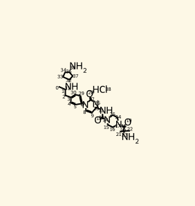 CC(Cc1ccc(-n2ccc(NC(=O)N3CCN(C(=O)C(C)(C)N)CC3)nc2=O)cc1)N[C@@H]1CC[C@H](N)C1.Cl